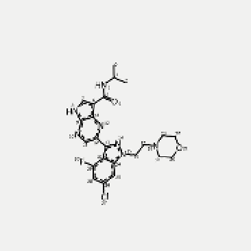 CC(C)NC(=O)c1c[nH]c2ncc(-c3nn(CCN4CCOCC4)c4cc(Cl)cc(F)c34)nc12